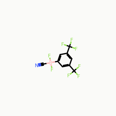 N#C[B-](F)(F)c1cc(C(F)(F)F)cc(C(F)(F)F)c1